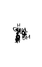 C[C@@H]1[C@@H](C)C(C)(C)[C@@H](CO)C[C@H]1NC1=N/C(=C\c2ccc3ncsc3c2)C(=O)N1